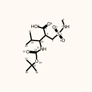 CNS(=O)(=O)CC(C(=O)O)C(NC(=O)OC(C)(C)C)C(C)C